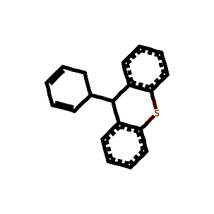 C1=CCC(C2c3ccccc3Sc3ccccc32)C=C1